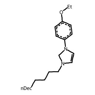 CCCCCCCCCCCCCCN1C=CN(c2ccc(OCC)cc2)C1